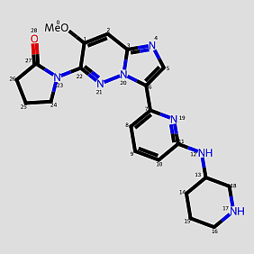 COc1cc2ncc(-c3cccc(NC4CCCNC4)n3)n2nc1N1CCCC1=O